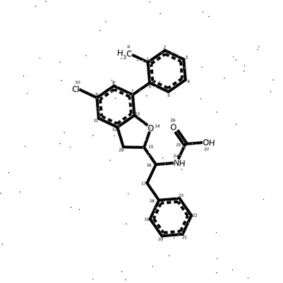 Cc1ccccc1-c1cc(Cl)cc2c1OC(C(Cc1ccccc1)NC(=O)O)C2